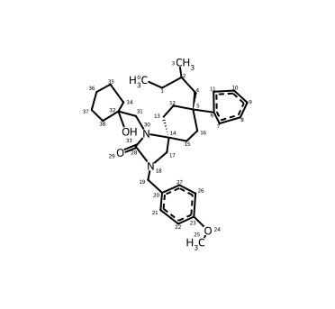 CCC(C)C[C@]1(c2ccccc2)CC[C@]2(CC1)CN(Cc1ccc(OC)cc1)C(=O)N2CC1(O)CCCCC1